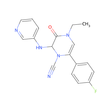 CCN1C=C(c2ccc(F)cc2)N(C#N)C(Nc2cccnc2)C1=O